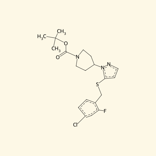 CC(C)(C)OC(=O)N1CCC(n2nccc2SCc2ccc(Cl)cc2F)CC1